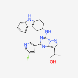 C[C@H](CO)c1cnn2c(N[C@H]3CCc4[nH]c5ccccc5c4C3)nc(-c3cncc(F)c3)nc12